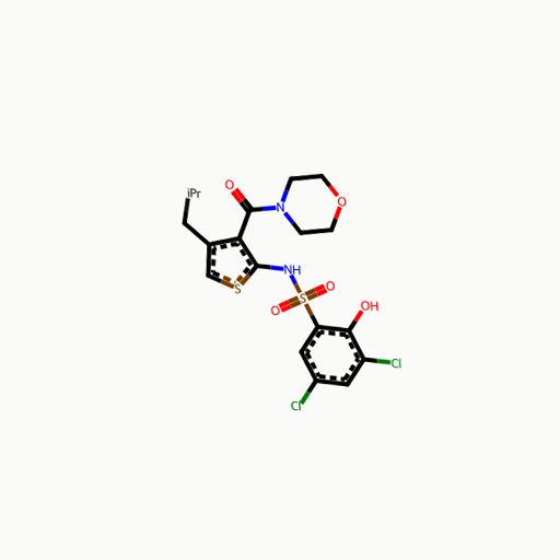 CC(C)Cc1csc(NS(=O)(=O)c2cc(Cl)cc(Cl)c2O)c1C(=O)N1CCOCC1